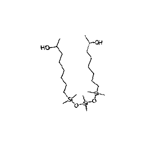 CC(O)CCCCCC[Si](C)(C)O[Si](C)(C)O[Si](C)(C)CCCCCCC(C)O